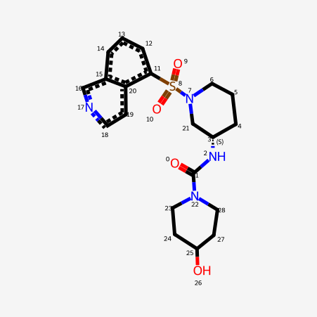 O=C(N[C@H]1CCCN(S(=O)(=O)c2cccc3cnccc23)C1)N1CCC(O)CC1